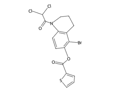 O=C(Oc1ccc2c(c1Br)CCCN2C(=O)C(Cl)Cl)c1cccs1